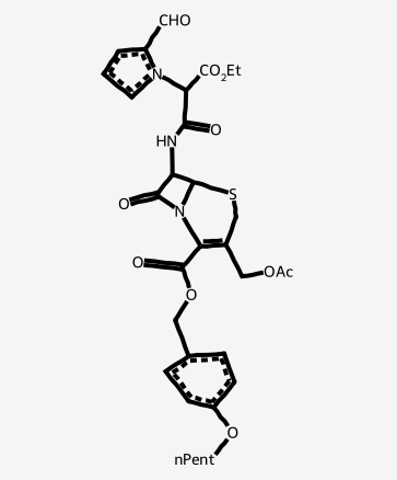 CCCCCOc1ccc(COC(=O)C2=C(COC(C)=O)CSC3C(NC(=O)C(C(=O)OCC)n4cccc4C=O)C(=O)N23)cc1